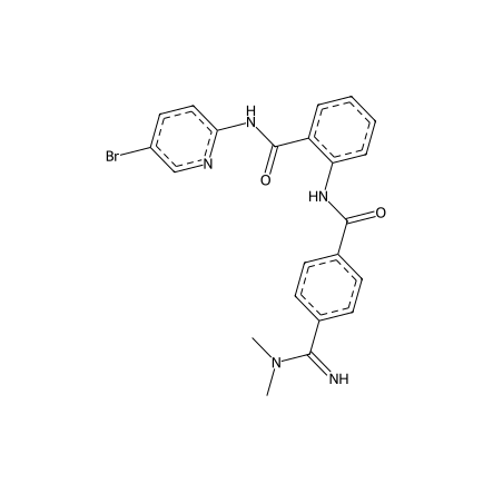 CN(C)C(=N)c1ccc(C(=O)Nc2ccccc2C(=O)Nc2ccc(Br)cn2)cc1